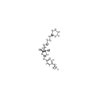 FC(F)(F)Sc1ccc(CN2C[C@@H]3[C@@H](COCCCN4CCCCC4)[C@@H]3C2)cc1